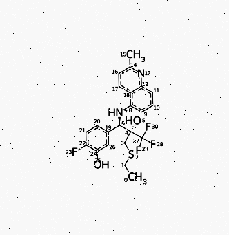 CCSC[C@@](O)([C@H](Nc1cccc2nc(C)ccc12)c1ccc(F)c(O)c1)C(F)(F)F